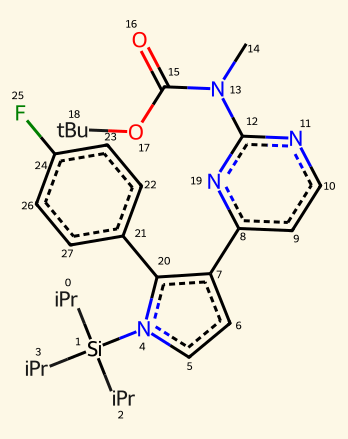 CC(C)[Si](C(C)C)(C(C)C)n1ccc(-c2ccnc(N(C)C(=O)OC(C)(C)C)n2)c1-c1ccc(F)cc1